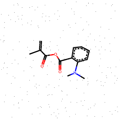 C=C(C)C(=O)OC(=O)c1ccccc1N(C)C